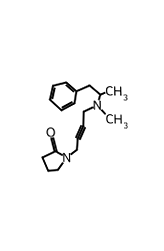 CC(Cc1ccccc1)N(C)CC#CCN1CCCC1=O